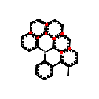 Cc1cccnc1-c1cccc[c]1[Ir]([c]1ccccc1-c1ncccc1C)[c]1ccccc1-c1ncccc1C